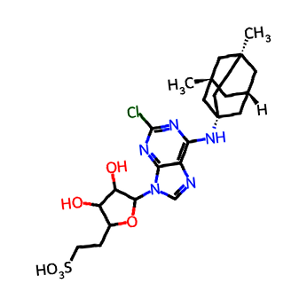 C[C@]12C[C@@H]3C[C@](C)(C1)C[C@@](Nc1nc(Cl)nc4c1ncn4C1OC(CCS(=O)(=O)O)C(O)C1O)(C3)C2